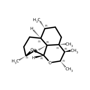 C[C@@H]1CC[C@@]2(C)[C@@H](C)[C@H](C)O[C@@H]3O[C@]4(C)CC[C@@H]1[C@]32OO4